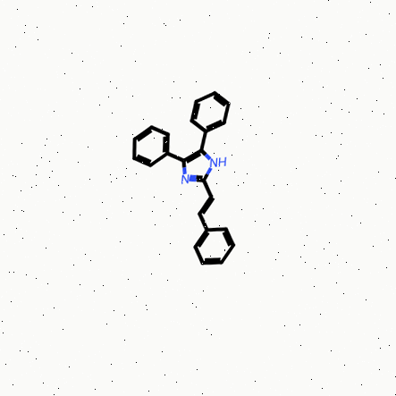 C(=Cc1nc(-c2ccccc2)c(-c2ccccc2)[nH]1)c1ccccc1